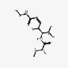 C=C(/C=C\C(C)[C@H](NC(=C)[C@H](C)OC)C(C)C)NCC